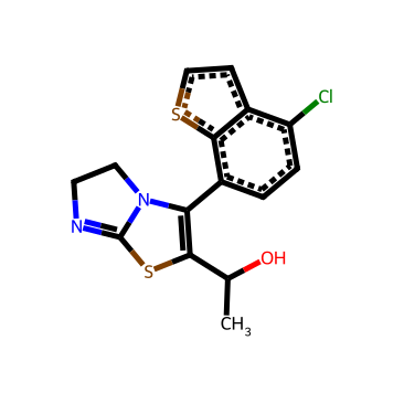 CC(O)C1=C(c2ccc(Cl)c3ccsc23)N2CCN=C2S1